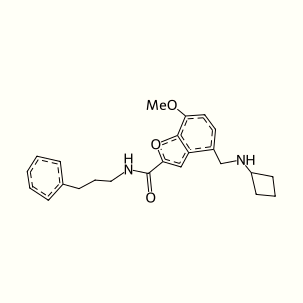 COc1ccc(CNC2CCC2)c2cc(C(=O)NCCCc3ccccc3)oc12